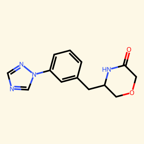 O=C1COCC(Cc2cccc(-n3cncn3)c2)N1